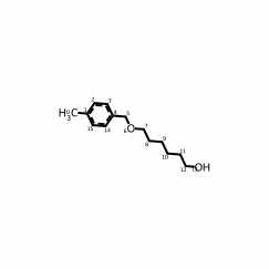 Cc1ccc(COCCCCCCO)cc1